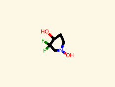 OC1CCN(O)CC1(F)F